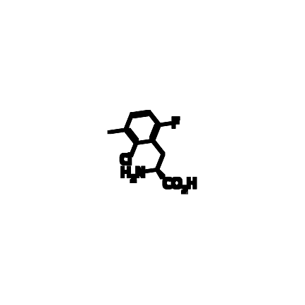 Cc1ccc(F)c(C[C@H](N)C(=O)O)c1Cl